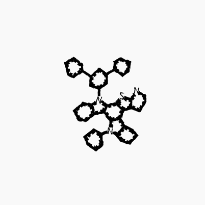 c1ccc(-c2cc(-c3ccccc3)cc(-n3c4ccccc4c4c3c3sc5ncccc5c3c3c5ccccc5n(-c5ccccc5)c34)c2)cc1